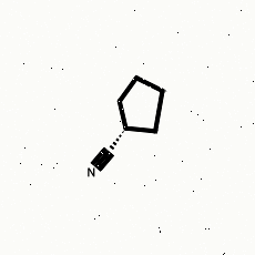 N#C[C@H]1C[CH]CC1